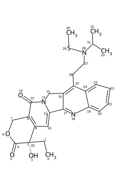 CC[C@@]1(O)C(=O)OCc2c1cc1n(c2=O)Cc2c-1nc1ccccc1c2CCN(SC)C(C)C